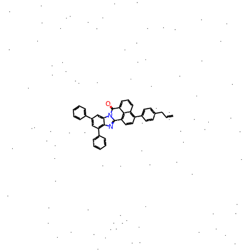 C=CCc1ccc(-c2ccc3c4c2cccc4c(=O)n2c4cc(-c5ccccc5)cc(-c5ccccc5)c4nc32)cc1